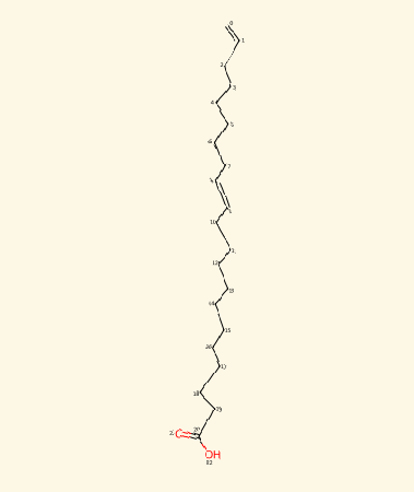 C=CCCCCCCC=CCCCCCCCCCCC(=O)O